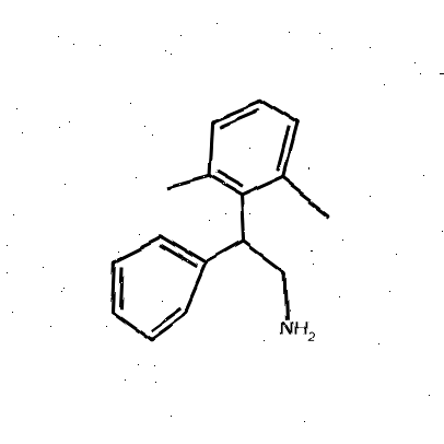 Cc1cccc(C)c1C(CN)c1ccccc1